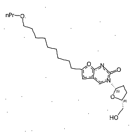 CCCOCCCCCCCCCc1cc2cn([C@@H]3CC[C@H](CO)O3)c(=O)nc2o1